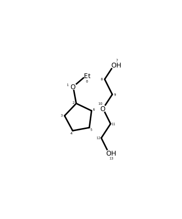 CCOC1CCCC1.OCCOCCO